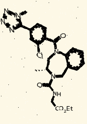 CCOC(=O)CNC(=O)N1Cc2ccccc2N(C(=O)c2ccc(-c3nnnn3C)cc2Cl)C[C@H]1C